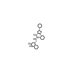 O=C(NNCc1cc(=O)[nH]c2ccccc12)c1cc(-c2ccccc2)nn1-c1ccccc1